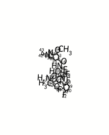 COc1cc(C(=O)NCC(O)(c2cc3c(c(-c4c(F)ccc(F)c4F)n2)OC[C@]3(C)C(N)=O)C(F)(F)F)cc2cn(C3CC3)nc12